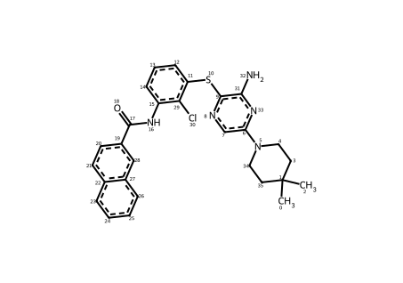 CC1(C)CCN(c2cnc(Sc3cccc(NC(=O)c4ccc5ccccc5c4)c3Cl)c(N)n2)CC1